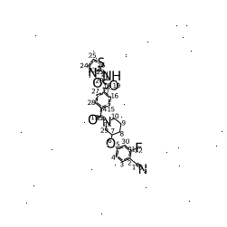 N#Cc1ccc(OC2CCCN(C(=O)c3ccc(S(=O)(=O)Nc4nccs4)cc3)C2)cc1F